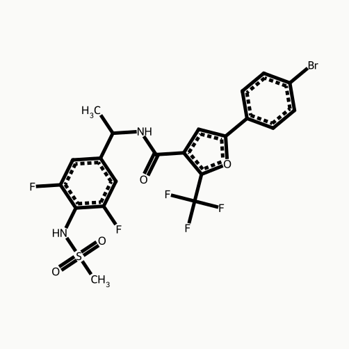 CC(NC(=O)c1cc(-c2ccc(Br)cc2)oc1C(F)(F)F)c1cc(F)c(NS(C)(=O)=O)c(F)c1